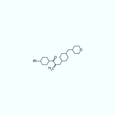 C=C(CC1CCC(CC2CCOCC2)CC1)C(=O)C1CCC(C(C)C)CC1